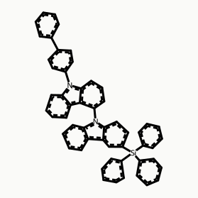 c1ccc(-c2ccc(-n3c4ccccc4c4c(-n5c6ccccc6c6cc([Si](c7ccccc7)(c7ccccc7)c7ccccc7)ccc65)cccc43)cc2)cc1